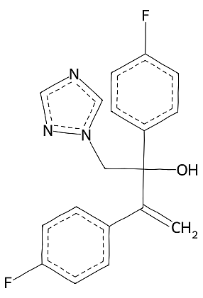 C=C(c1ccc(F)cc1)C(O)(Cn1cncn1)c1ccc(F)cc1